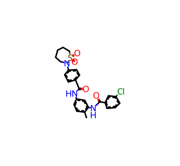 Cc1ccc(NC(=O)c2ccc(N3CCCCCS3(=O)=O)cc2)cc1NC(=O)c1cccc(Cl)c1